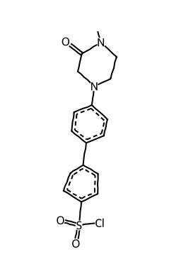 CN1CCN(c2ccc(-c3ccc(S(=O)(=O)Cl)cc3)cc2)CC1=O